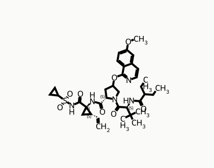 C=C[C@@H]1C[C@]1(NC(=O)[C@@H]1CC(Oc2nccc3cc(OC)ccc23)CN1C(=O)[C@@H](NC(=O)C(CC)CC)C(C)(C)C)C(=O)NS(=O)(=O)C1CC1